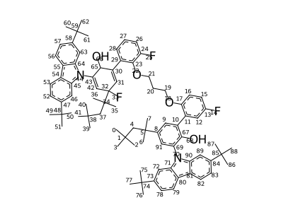 CC(C)(C)CC(C)(C)c1cc(-c2cc(F)ccc2OCCCOc2c(F)cccc2C2=CC(F)(C(C)(C)CC(C)(C)C)C=C(n3c4cc(C(C)(C)C)ccc4c4ccc(C(C)(C)C)cc43)C2O)c(O)c(-n2c3cc(C(C)(C)C)ccc3c3ccc(C(C)(C)C)cc32)c1